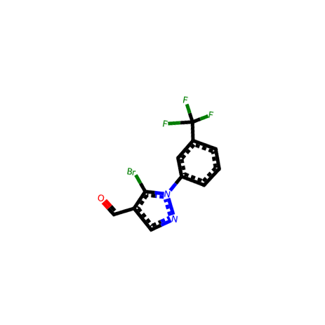 O=Cc1cnn(-c2cccc(C(F)(F)F)c2)c1Br